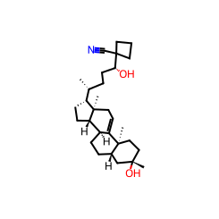 C[C@H](CC[C@@H](O)C1(C#N)CCC1)[C@H]1CC[C@H]2[C@@H]3CC[C@H]4C[C@@](C)(O)CC[C@]4(C)C3=CC[C@]12C